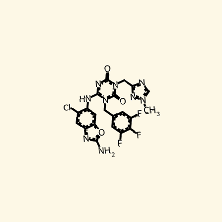 Cn1cnc(Cn2c(=O)nc(Nc3cc4oc(N)nc4cc3Cl)n(Cc3cc(F)c(F)c(F)c3)c2=O)n1